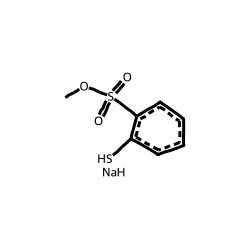 COS(=O)(=O)c1ccccc1S.[NaH]